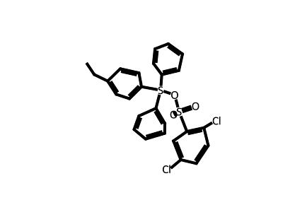 CCc1ccc(S(OS(=O)(=O)c2cc(Cl)ccc2Cl)(c2ccccc2)c2ccccc2)cc1